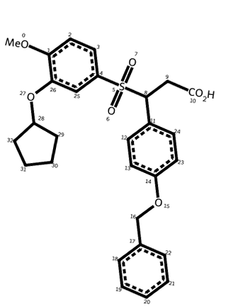 COc1ccc(S(=O)(=O)C(CC(=O)O)c2ccc(OCc3ccccc3)cc2)cc1OC1CCCC1